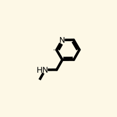 CNCc1[c]nccc1